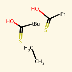 CC.CC(C)(C)C(O)=S.CC(C)C(O)=S